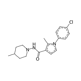 Cc1c(C(=O)NN2CCC(C)CC2)ccn1-c1ccc(Cl)cc1